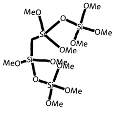 CO[Si](C[Si](OC)(OC)O[Si](OC)(OC)OC)(OC)O[Si](OC)(OC)OC